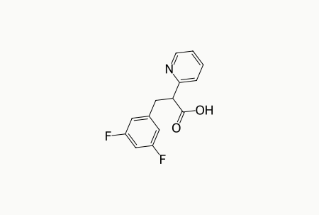 O=C(O)C(Cc1cc(F)cc(F)c1)c1ccccn1